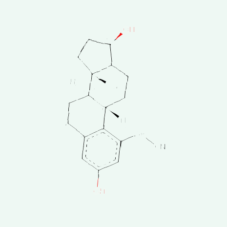 C[C@]12CC[C@@H]3c4c(cc(O)cc4[Se]C#N)CC[C@H]3[C@@H]1CC[C@H]2O